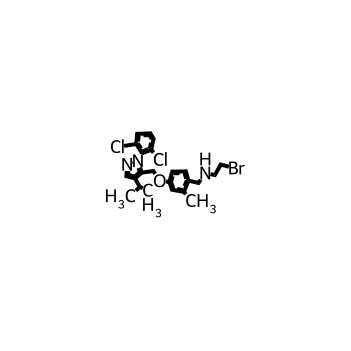 Cc1cc(OCc2c(C(C)C)cnn2-c2c(Cl)cccc2Cl)ccc1CNCCBr